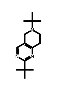 CC(C)(C)c1ncc2c(n1)CCN(C(C)(C)C)C2